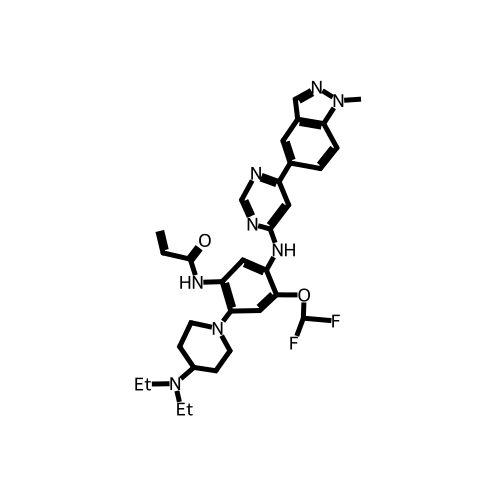 C=CC(=O)Nc1cc(Nc2cc(-c3ccc4c(cnn4C)c3)ncn2)c(OC(F)F)cc1N1CCC(N(CC)CC)CC1